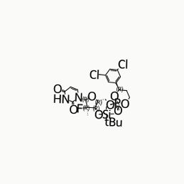 CC(C)(C)[Si](C)(C)O[C@@H]1[C@@H](CO[P@]2(=O)OCC[C@H](c3cc(Cl)cc(Cl)c3)O2)O[C@@H](n2ccc(=O)[nH]c2=O)[C@]1(C)F